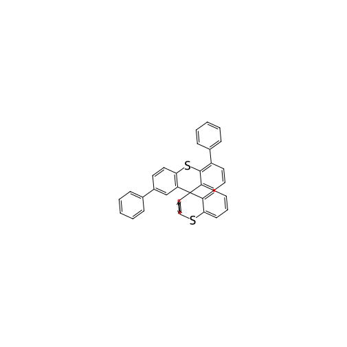 c1ccc(-c2ccc3c(c2)C2(c4ccccc4Sc4ccccc42)c2cccc(-c4ccccc4)c2S3)cc1